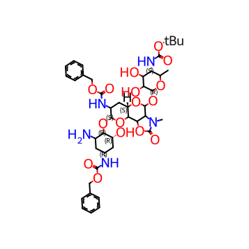 CC1O[C@H](OC2O[C@H]3CC(NC(=O)OCc4ccccc4)[C@@H](O[C@@H]4C(N)C[C@@H](NC(=O)OCc5ccccc5)C[C@H]4O)OC3C3OC(=O)N(C)C23)C(O)C(O)[C@@H]1NC(=O)OC(C)(C)C